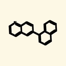 c1cnc2ccc(-c3cccc4ccccc34)cc2c1